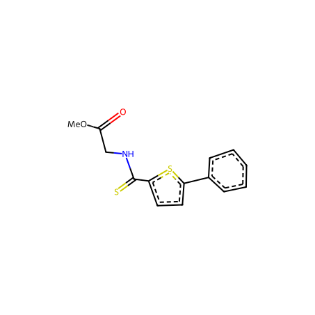 COC(=O)CNC(=S)c1ccc(-c2ccccc2)s1